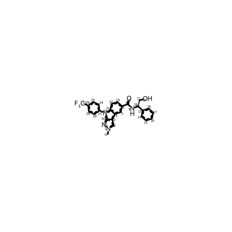 Cn1cc2c3cc(C(=O)N[C@@H](CO)c4ccccc4)ccc3n(-c3ccc(C(F)(F)F)cc3)c2n1